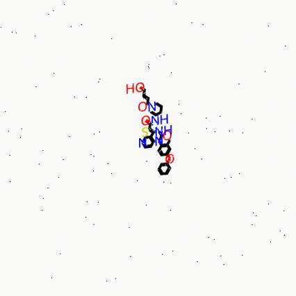 Cc1cc(Oc2ccccc2)ccc1N1C(=O)Nc2c(C(=O)N[C@@H]3CCCN(C(=O)/C=C/CO)C3)sc3nccc1c23